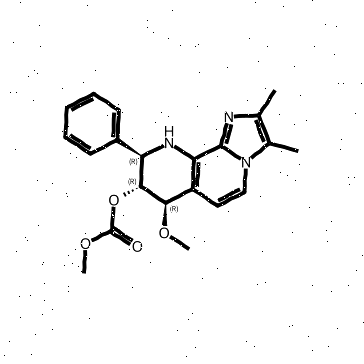 COC(=O)O[C@@H]1[C@@H](c2ccccc2)Nc2c(ccn3c(C)c(C)nc23)[C@H]1OC